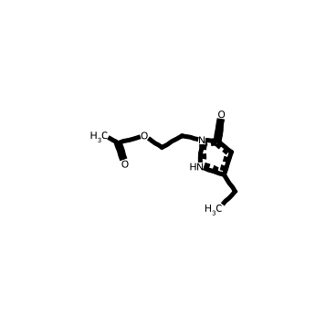 CCc1cc(=O)n(CCOC(C)=O)[nH]1